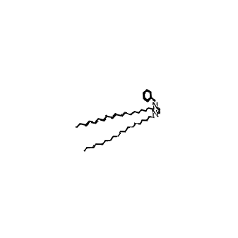 CCCCCCCCCCCCCCCCCCCN1C=CN(Cc2ccccc2)C1CCCCCCCCCCCCCCCCCC